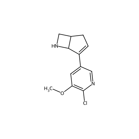 COc1cc(C2=CCC3CNC23)cnc1Cl